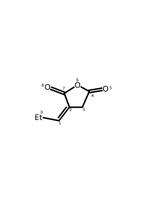 CCC=C1CC(=O)OC1=O